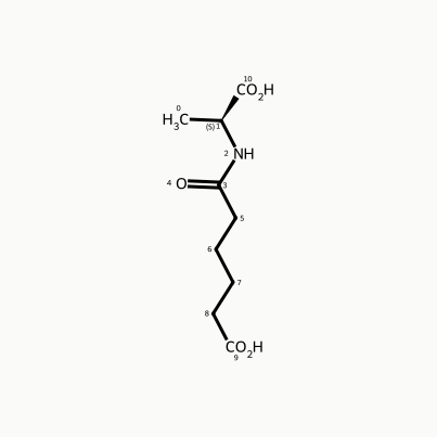 C[C@H](NC(=O)CCCCC(=O)O)C(=O)O